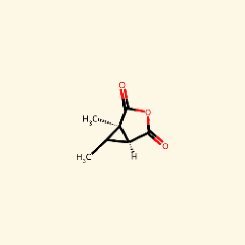 CC1[C@@H]2C(=O)OC(=O)[C@]12C